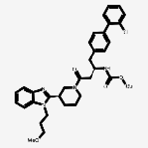 COCCCn1c([C@@H]2CCCN(C(=O)C[C@@H](Cc3ccc(-c4ccccc4Cl)cc3)NC(=O)OC(C)(C)C)C2)nc2ccccc21